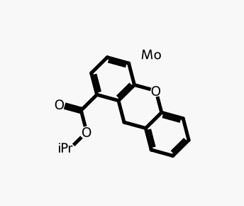 CC(C)OC(=O)c1cccc2c1Cc1ccccc1O2.[Mo]